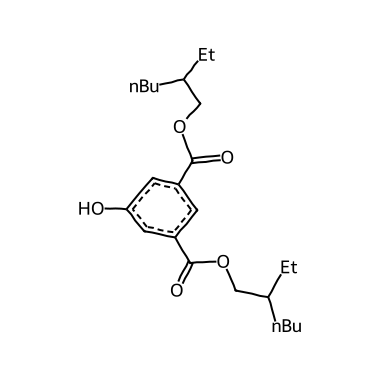 CCCCC(CC)COC(=O)c1cc(O)cc(C(=O)OCC(CC)CCCC)c1